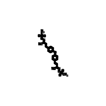 CS(=O)(=O)O/N=C(C#N)/C=C/c1ccc(Oc2ccc(/C=C/C(C#N)=N/OS(C)(=O)=O)cc2)cc1